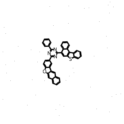 c1ccc(-c2nc(-c3ccc4oc5cc6ccccc6cc5c4c3)nc(-c3cc4sc5ccccc5c4c4ccccc34)n2)cc1